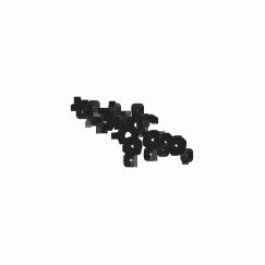 CCOC(=O)c1nn(-c2cnc(N(C)C(=O)OC(C)(C)C)nc2OC)c(C(C)C)c1C(Nc1cc(Cl)c(=O)n(Cc2ccc(OC)cc2)c1)c1ccc(Cl)cc1